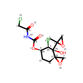 CC1([C@@]2(O)[C@H](Br)[C@H](OC(=O)NC(=O)CCl)CC[C@]23CO3)CO1